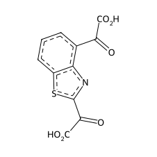 O=C(O)C(=O)c1nc2c(C(=O)C(=O)O)cccc2s1